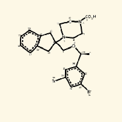 C[C@H](OCC1(N2CCN(C(=O)O)CC2)Cc2ccccc2C1)c1cc(Br)cc(Br)c1